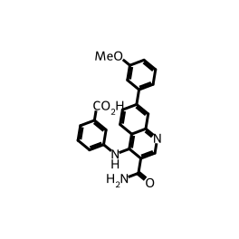 COc1cccc(-c2ccc3c(Nc4cccc(C(=O)O)c4)c(C(N)=O)cnc3c2)c1